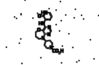 O=C(O)N1CCC(N2CCCOc3c(Nc4ccc[nH]c4=O)ncnc32)CC1